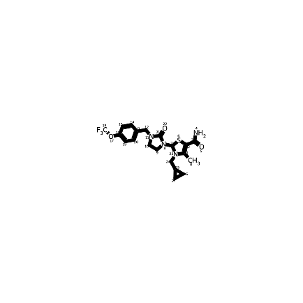 CC1=C(C(N)=O)SC(N2CCN(Cc3ccc(OC(F)(F)F)cc3)C2=O)N1CC1CC1